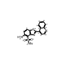 CCCCS(=O)(=O)c1c(N)ccc2sc(-c3ccnc4ccccc34)nc12